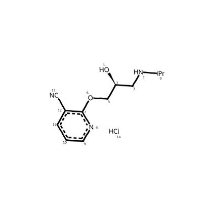 CC(C)NC[C@H](O)COc1ncccc1C#N.Cl